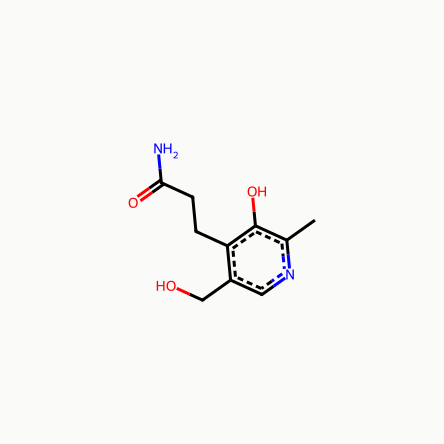 Cc1ncc(CO)c(CCC(N)=O)c1O